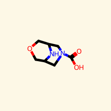 O=C(O)N1CC2COCC(C1)N2